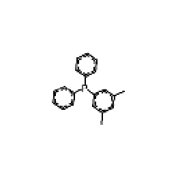 Cc1cc(C)cc(P(c2ccccc2)c2ccccc2)c1